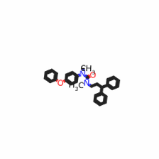 CN(CCC(c1ccccc1)c1ccccc1)C(=O)N(C)c1ccc(Oc2ccccc2)cc1